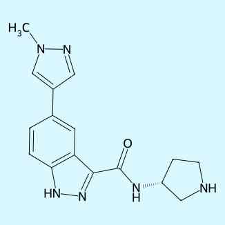 Cn1cc(-c2ccc3[nH]nc(C(=O)N[C@@H]4CCNC4)c3c2)cn1